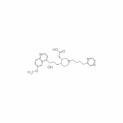 COc1ccc2nccc([C@@H](O)CC[C@@H]3CCN(CCCCc4cnccn4)C[C@@H]3CC(=O)O)c2c1